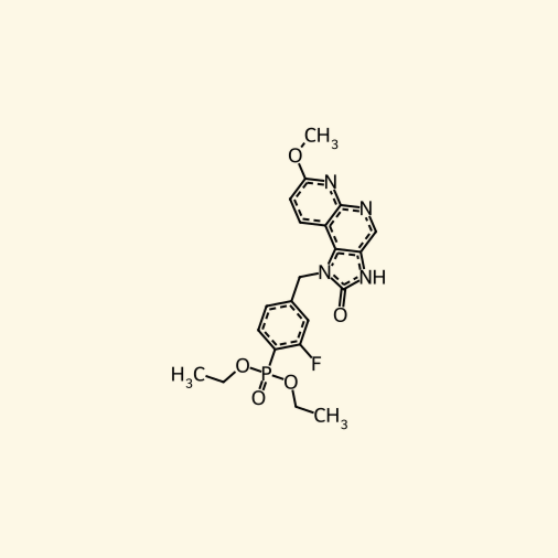 CCOP(=O)(OCC)c1ccc(Cn2c(=O)[nH]c3cnc4nc(OC)ccc4c32)cc1F